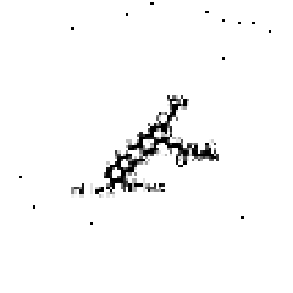 CCCCCCC1C=CC(CCCCCCCC(=O)OCC2CO2)C(/C=C/CCCCCCCC(=O)OCC2CO2)C1CCCCCC